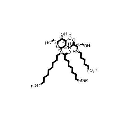 CCCCCCCCCCCCCCCCCCN(C(=O)CCCCCCCCCCCCCCCCC)[C@@H]1O[C@H](CO)[C@@H](O)[C@H](O)[C@@H]1NC(=O)[C@H](CO)NCCCCCC(=O)O